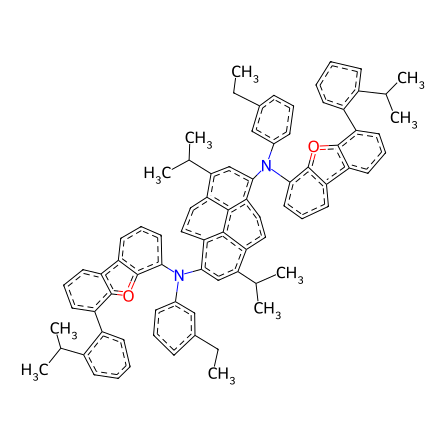 CCc1cccc(N(c2cc(C(C)C)c3ccc4c(N(c5cccc(CC)c5)c5cccc6c5oc5c(-c7ccccc7C(C)C)cccc56)cc(C(C)C)c5ccc2c3c54)c2cccc3c2oc2c(-c4ccccc4C(C)C)cccc23)c1